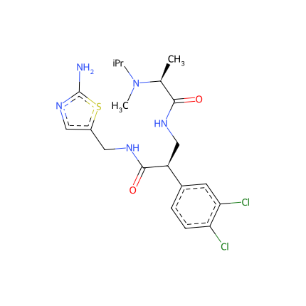 CC(C)N(C)[C@@H](C)C(=O)NC[C@H](C(=O)NCc1cnc(N)s1)c1ccc(Cl)c(Cl)c1